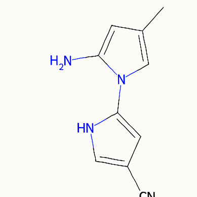 Cc1cc(N)n(-c2cc(C#N)c[nH]2)c1